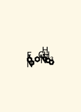 CC(c1nc2cc3ccccc3cc2[nH]1)[C@H]1CC[C@@H](c2ccnc3ccc(F)cc32)CC1